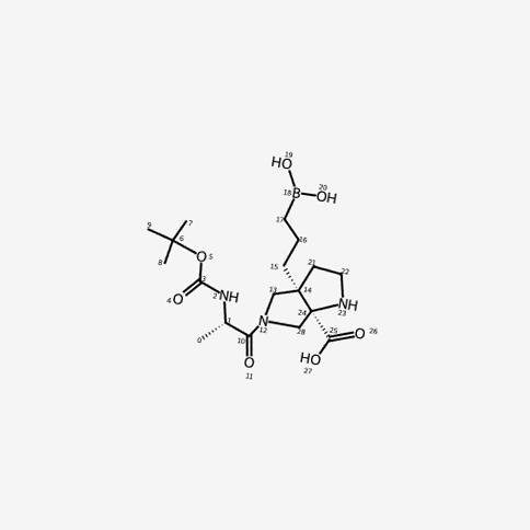 C[C@H](NC(=O)OC(C)(C)C)C(=O)N1C[C@@]2(CCCB(O)O)CCN[C@@]2(C(=O)O)C1